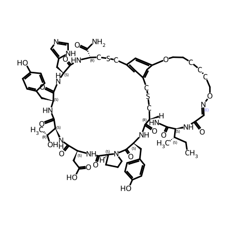 CC[C@H](C)[C@@H]1NC(=O)/C=N/OCCCCCCOc2cc3cc(c2)CSC[C@H](NC1=O)C(=O)N[C@@H](Cc1ccc(O)cc1)C(=O)N1CCC[C@H]1C(=O)N[C@@H](CC(=O)O)C(=O)N[C@@H]([C@@H](C)O)C(=O)N[C@@H](Cc1ccc(O)cc1)C(=O)N[C@@H](Cc1cnc[nH]1)C(=O)N[C@H](C(N)=O)CSC3